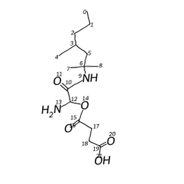 CCCC(C)CC(C)(C)NC(=O)C(N)OC(=O)CCC(=O)O